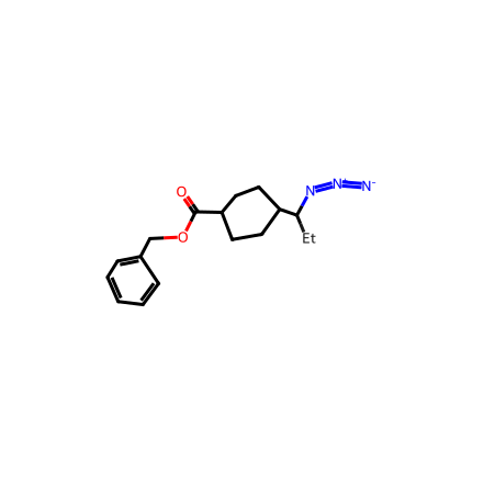 CCC(N=[N+]=[N-])C1CCC(C(=O)OCc2ccccc2)CC1